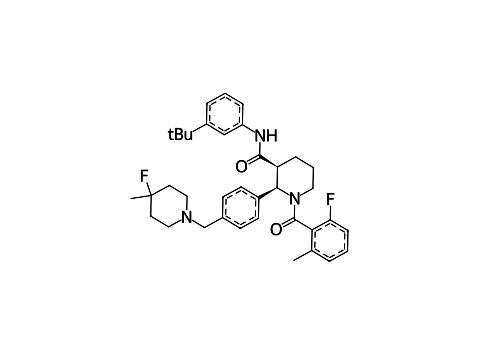 Cc1cccc(F)c1C(=O)N1CCC[C@H](C(=O)Nc2cccc(C(C)(C)C)c2)[C@@H]1c1ccc(CN2CCC(C)(F)CC2)cc1